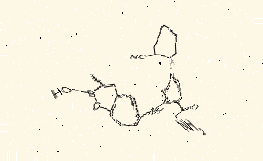 CC1=Cc2cc(Nc3nn([C@H]4CCCCC4C#N)cc3C(N)=O)ccc2OB1O